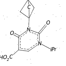 CC(C)n1cc(C(=O)O)c(=O)n(C23CC(C2)C3)c1=O